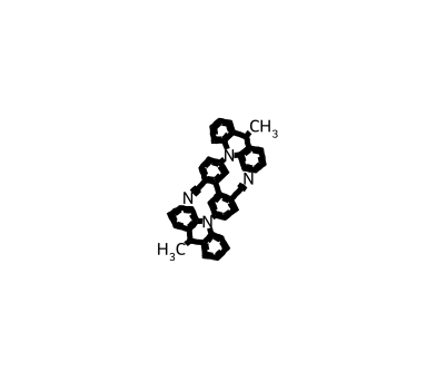 CC1c2ccccc2N(c2ccc(C#N)c(-c3cc(N4c5ccccc5C(C)c5ccccc54)ccc3C#N)c2)c2ccccc21